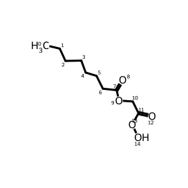 CCCCCCCC(=O)OCC(=O)OO